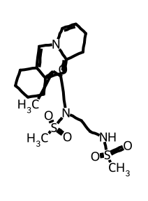 CC1C(N(CCNS(C)(=O)=O)S(C)(=O)=O)OC2=C3CCC=CN3C=C3CCCCC321